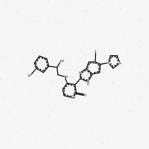 O=c1[nH]ccc(NCC(O)c2cccc(Br)c2)c1-c1nc2cc(F)c(-n3ccnc3)cc2[nH]1